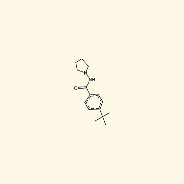 CC(C)(C)c1ccc(C(=O)NN2CCCC2)cc1